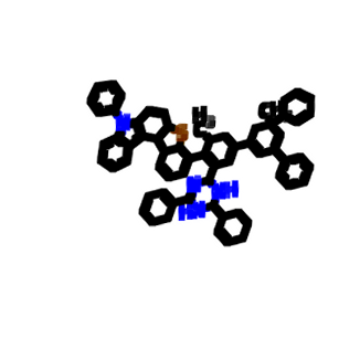 CC1CC(C2=CC(c3ccccc3)=CC(C)(C3C=CC=CC3)C2)=CC(C2N=C(C3=CC=CCC3)NC(C3C=CCCC3)N2)=C1C1=CC=CC2C1SC1C=Cc3c(c4ccccc4n3-c3ccccc3)C12